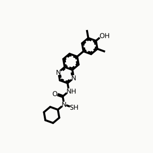 Cc1cc(-c2ccc3ncc(NC(=O)N(S)C4CCCCC4)nc3c2)cc(C)c1O